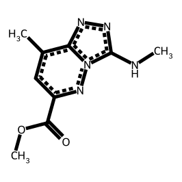 CNc1nnc2c(C)cc(C(=O)OC)nn12